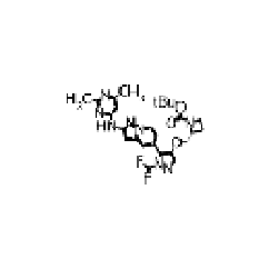 Cc1cc(Nc2cc3cc(-c4c(OC[C@H]5CCN5C(=O)OC(C)(C)C)cnn4C(F)F)ccn3n2)nc(C)n1